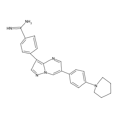 N=C(N)c1ccc(-c2cnn3cc(-c4ccc(N5CCCCC5)cc4)cnc23)cc1